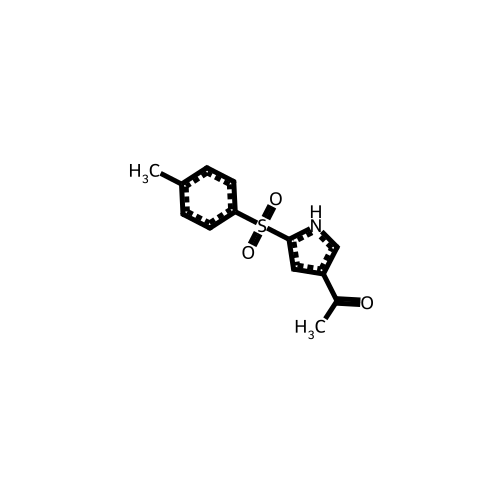 CC(=O)c1c[nH]c(S(=O)(=O)c2ccc(C)cc2)c1